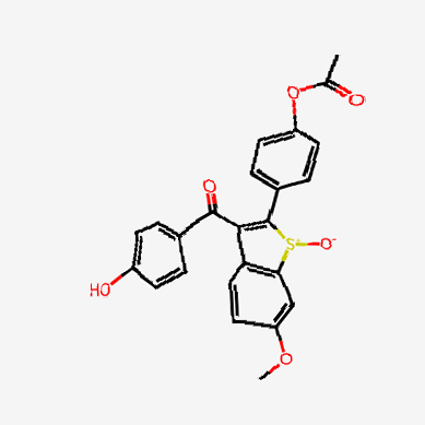 COc1ccc2c(C(=O)c3ccc(O)cc3)c(-c3ccc(OC(C)=O)cc3)[s+]([O-])c2c1